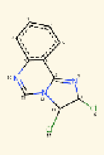 ClC1N=C2c3ccccc3N=CN2C1Cl